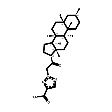 C[C@H]1CC[C@@]2(C)[C@H](CC[C@@H]3[C@@H]2CC[C@]2(C)[C@@H](C(=O)Cn4ncc(C(N)=O)n4)CC[C@@H]32)C1